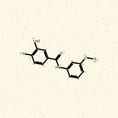 O=Cc1cc(C(=O)Nc2cccc(OC(F)(F)F)c2)ccc1F